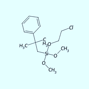 CO[Si](CC(C)(C)c1ccccc1)(OC)OCCCl